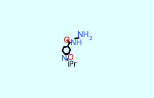 CC(C)c1nc2c(o1)CC(C(=O)NCCN)CC2